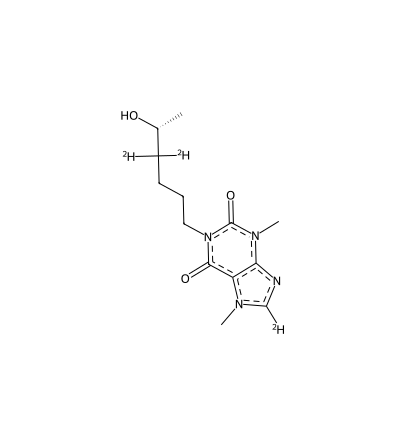 [2H]c1nc2c(c(=O)n(CCCC([2H])([2H])[C@@H](C)O)c(=O)n2C)n1C